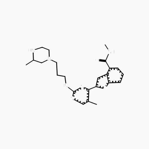 CNC(=O)c1cccc2sc(-c3nc(NCCCN4CCNC(C)C4)ncc3C)cc12